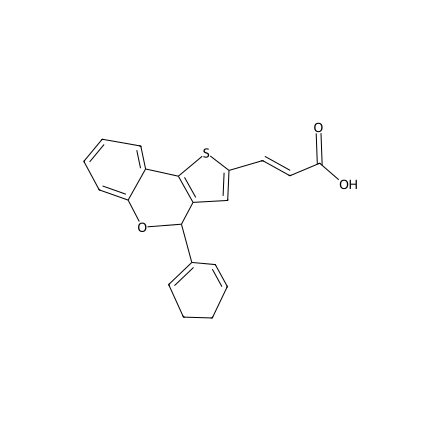 O=C(O)C=Cc1cc2c(s1)-c1ccccc1OC2C1=CCCC=C1